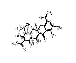 C=C(Cl)c1cc(C(C)(C)C)c(O)c2c1C[C@H]1C[C@H]3[C@H](N(C)C)C(O)=C(C(N)=O)C(=O)[C@@]3(O)C(O)=C1C2=O